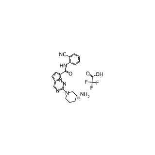 N#Cc1ccccc1NC(=O)c1ccc2cnc(N3CCC[C@@H](N)C3)nn12.O=C(O)C(F)(F)F